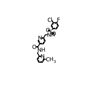 Cc1cccc(CNC(=O)c2ccc(CNS(=O)(=O)c3ccc(F)c(Cl)c3)nc2)n1